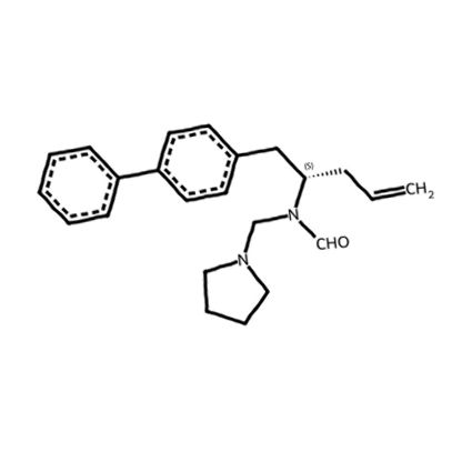 C=CC[C@@H](Cc1ccc(-c2ccccc2)cc1)N(C=O)CN1CCCC1